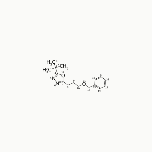 CC(C)(C)c1nnc(CCCOCc2ccccc2)o1